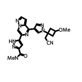 CNC(=O)c1cc(-c2cn3nccc3c(-c3cnn(C4(CC#N)CC(OC)C4)c3)n2)[nH]n1